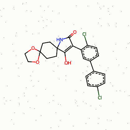 O=C1NC2(CCC3(CC2)OCCO3)C(O)=C1c1cc(-c2ccc(Cl)cc2)ccc1Cl